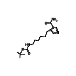 CC(C)(C)OC(=O)NCCCCCCn1cncc1C(N)=O